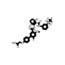 COc1cc(F)c(-c2ccc(OCC(=O)O)cc2)cc1C(=O)N[C@@H]1[C@H]2CC[C@H](C2)[C@@H]1C(=O)Nc1cccc(S(=O)(=O)C(F)(F)F)c1